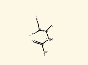 CC(C)C(=O)NC(C)C(F)F